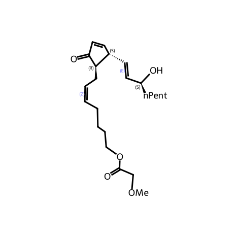 CCCCC[C@H](O)/C=C/[C@H]1C=CC(=O)[C@@H]1C/C=C\CCCCOC(=O)COC